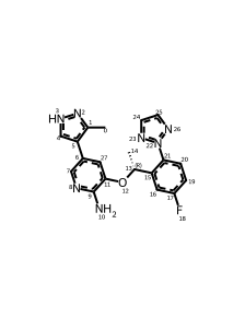 Cc1n[nH]cc1-c1cnc(N)c(O[C@H](C)c2cc(F)ccc2-n2nccn2)c1